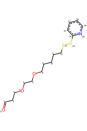 O=CCCOCCOCCCCCSSc1ccccn1